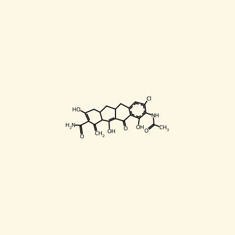 C=C1C(C(N)=O)=C(O)CC2CC3Cc4cc(Cl)c(NC(C)=O)c(O)c4C(=O)C3=C(O)C12